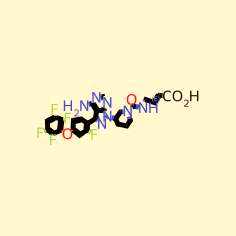 Nc1ncnc2c1c(-c1ccc(Oc3c(F)c(F)cc(F)c3F)cc1F)nn2C1CCCN(C(=O)NC/C=C/C(=O)O)C1